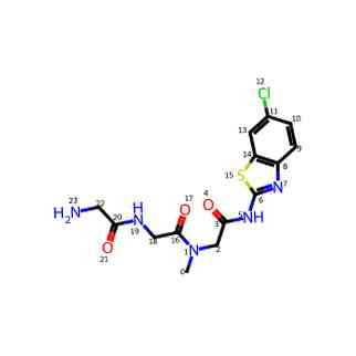 CN(CC(=O)Nc1nc2ccc(Cl)cc2s1)C(=O)CNC(=O)CN